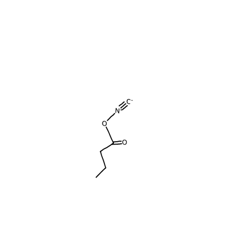 [C-]#[N+]OC(=O)CCC